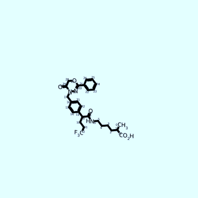 CC(CCCCNC(=O)C(CCC(F)(F)F)c1ccc(CN2N=C(c3ccccc3)OCC2=O)cc1)C(=O)O